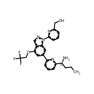 CCC[C@H](N)c1cccc(-c2cc(OCC(F)(F)F)c3cnn(-c4cccc(CO)n4)c3c2)n1